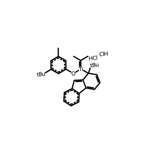 C[C](C)=[Ti]([O]c1cc(C)cc(C(C)(C)C)c1)[C]1(C(C)(C)C)C=CC=C2C1=Cc1ccccc12.Cl.Cl